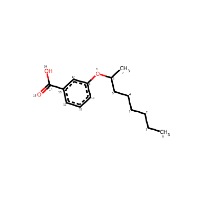 CCCCCCC(C)Oc1cccc(C(=O)O)c1